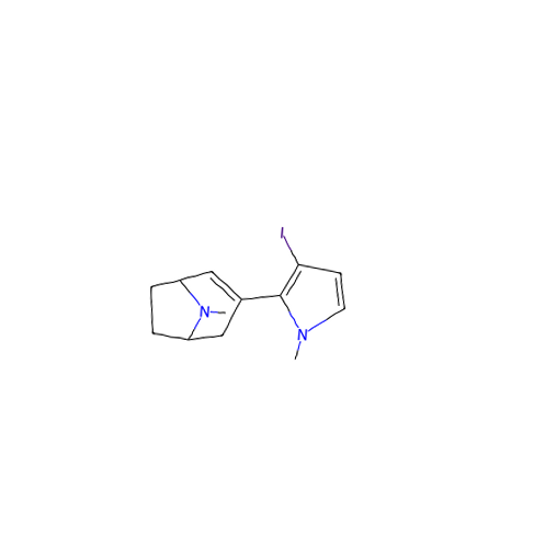 CN1C2C=C(c3c(I)ccn3C)CC1CC2